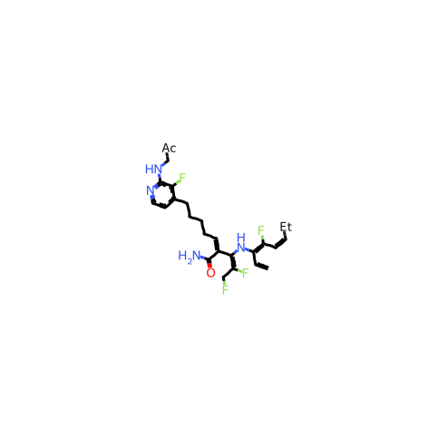 C=C/C(N/C(C(=CCCCCc1ccnc(NCC(C)=O)c1F)C(N)=O)=C(\F)CF)=C(F)\C=C/CC